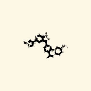 C=C(C)c1ccc(-c2n[nH]c3cnc(-c4cnn(C)c4)cc23)nc1N1CCC[C@H](N)C1